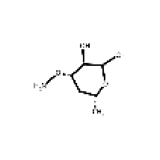 C[C@@H]1C[C@H](ON)[C@@H](O)C(O)O1